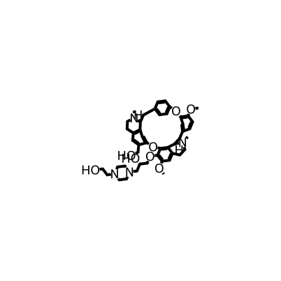 COc1ccc2cc1Oc1ccc(cc1)C[C@H]1c3cc(c(CO)cc3CCN1C)Oc1c(OCC(O)CN3CCN(CCO)CC3)c(OC)cc3c1[C@H](C2)N(C)CC3